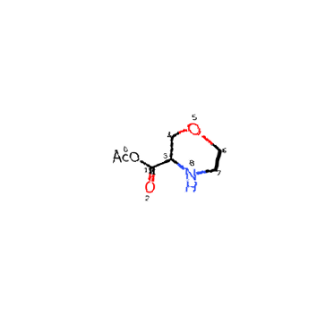 CC(=O)OC(=O)C1COCCN1